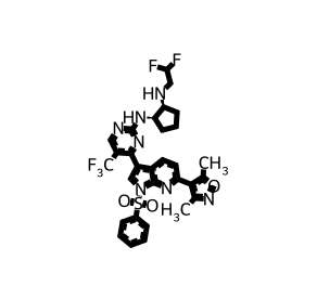 Cc1noc(C)c1-c1ccc2c(-c3nc(N[C@H]4CCC[C@@H]4NCC(F)F)ncc3C(F)(F)F)cn(S(=O)(=O)c3ccccc3)c2n1